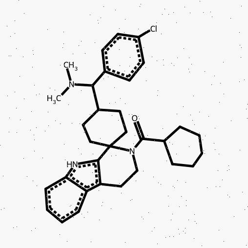 CN(C)C(c1ccc(Cl)cc1)C1CCC2(CC1)c1[nH]c3ccccc3c1CCN2C(=O)C1CCCCC1